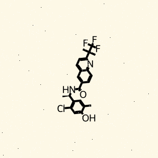 Cc1cc([C@@H](C)NC(=O)c2ccc3nc(C(C)(C)C(F)(F)F)ccc3c2)c(Cl)cc1O